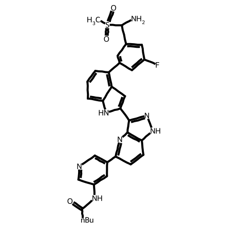 CCCCC(=O)Nc1cncc(-c2ccc3[nH]nc(-c4cc5c(-c6cc(F)cc(C(N)S(C)(=O)=O)c6)cccc5[nH]4)c3n2)c1